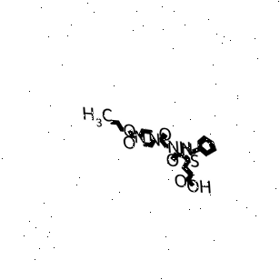 CCCCOC(=O)N1CCN(C(=O)CNC(=O)c2nc(-c3ccccc3)sc2/C=C/C(=O)O)CC1